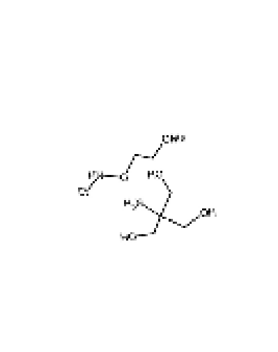 CCNOCCOC.NC(CO)(CO)CO